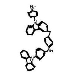 Brc1ccc(-n2c3ccccc3c3cc(Cc4ccc(Nc5ccc(-n6c7ccccc7c7ccccc76)cc5)cc4)ccc32)cc1